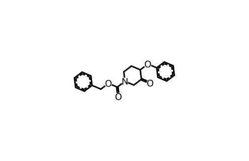 O=C1CN(C(=O)OCc2ccccc2)CCC1Oc1ccccc1